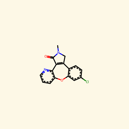 CN1CC2=C(C1=O)c1ncccc1Oc1cc(Cl)ccc12